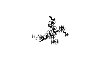 CCCC(C)OC(=O)OC(CC)OC(=O)C1=C(CSc2nnnn2CCN(C)C)CS[C@H]2[C@H](NC(=O)Cc3csc(N)n3)C(=O)N12.Cl.Cl